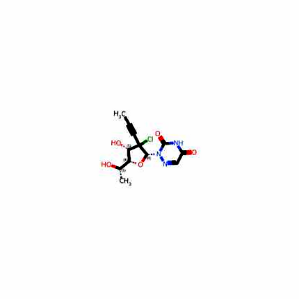 CC#CC1(Cl)[C@@H](O)[C@@H]([C@H](C)O)O[C@H]1n1ncc(=O)[nH]c1=O